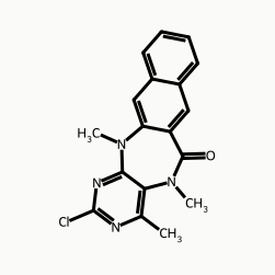 Cc1nc(Cl)nc2c1N(C)C(=O)c1cc3ccccc3cc1N2C